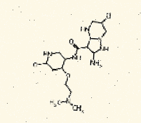 CN(C)CCOC1CC(Cl)NCC1NC(=O)C1C(N)NN2CC(Cl)CNC12